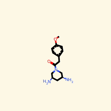 COc1ccc(CC(=O)N2C[C@H](N)C[C@H](N)C2)cc1